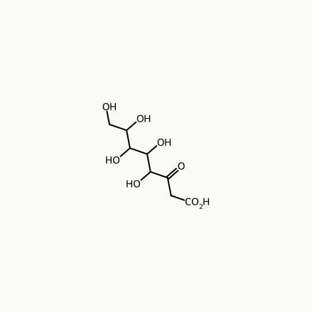 O=C(O)CC(=O)C(O)C(O)C(O)C(O)CO